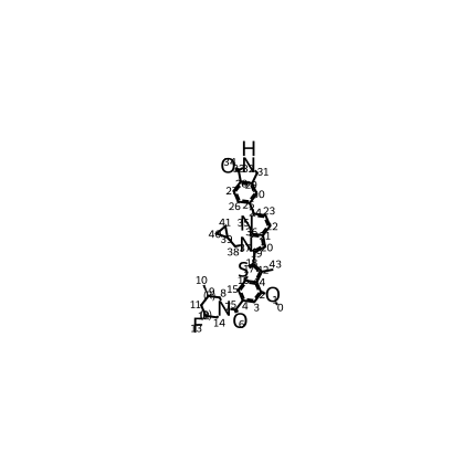 COc1cc(C(=O)N2C[C@H](C)C[C@@H](F)C2)cc2sc(-c3cc4ccc(-c5ccc6c(c5)CNC6=O)nc4n3CC3CC3)c(C)c12